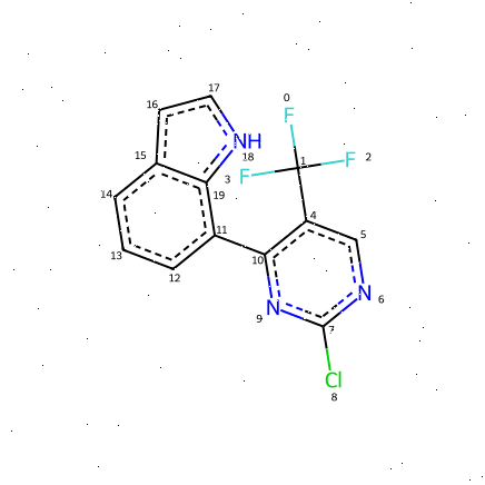 FC(F)(F)c1cnc(Cl)nc1-c1cccc2cc[nH]c12